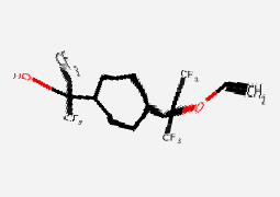 C=COC(C1CCC(C(O)(C(F)(F)F)C(F)(F)F)CC1)(C(F)(F)F)C(F)(F)F